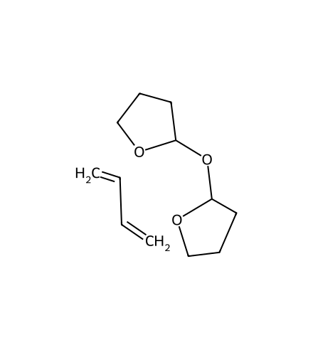 C1COC(OC2CCCO2)C1.C=CC=C